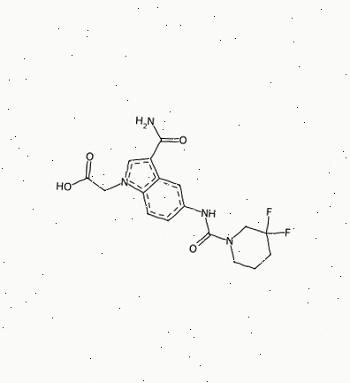 NC(=O)c1cn(CC(=O)O)c2ccc(NC(=O)N3CCCC(F)(F)C3)cc12